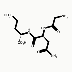 NCC(=O)N[C@@H](CC(N)=O)C(=O)N[C@@H](CCC(=O)O)C(=O)O